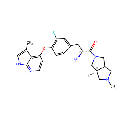 Cc1c[nH]c2nccc(Oc3ccc(C[C@H](N)C(=O)N4CC5CN(C)C[C@H]5C4)cc3F)c12